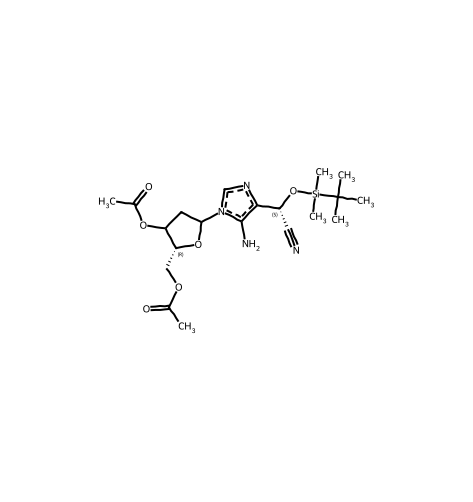 CC(=O)OC[C@H]1OC(n2cnc([C@@H](C#N)O[Si](C)(C)C(C)(C)C)c2N)CC1OC(C)=O